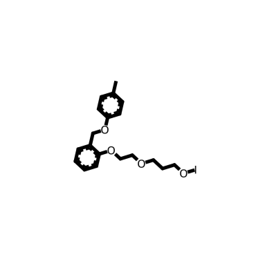 Cc1ccc(OCc2ccccc2OCCOCCCOI)cc1